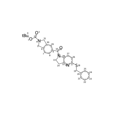 CC(C)(C)OC(=O)N1Cc2ccc(C(=O)N3CCc4nc(SCc5ccccc5)ccc43)cc2C1